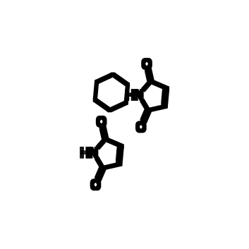 C1CCCCC1.O=C1C=CC(=O)N1.O=C1C=CC(=O)N1